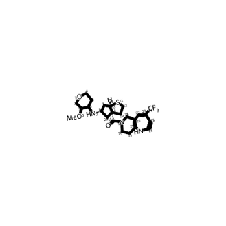 COC1COCCC1N[C@@H]1C[C@H]2SCC[C@@]2(C(=O)N2CCC3=C(C=C(C(F)(F)F)C#CN3)C2)C1